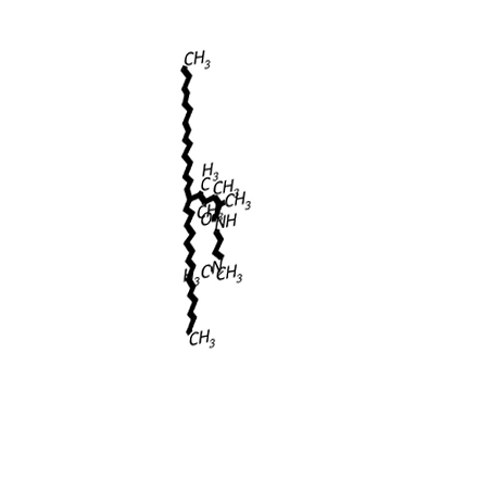 CCCCCCCCCCCCCCCCC(CCCCCCCCCCCCCCCC)C(C)C(C)C(C)C(C)C(=O)NCCCCN(C)C